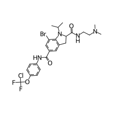 CC(C)N1c2c(Br)cc(C(=O)Nc3ccc(OC(F)(F)Cl)cc3)cc2CC1C(=O)NCCN(C)C